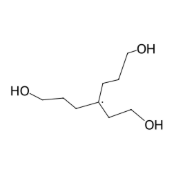 OCCC[C](CCO)CCCO